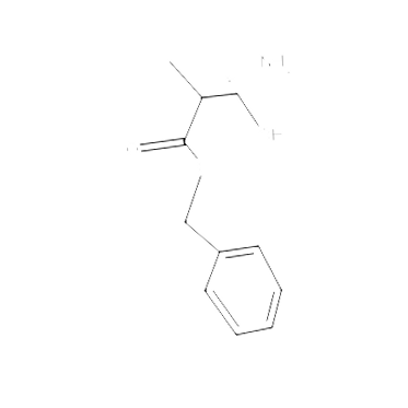 CC(C(=O)OCc1ccccc1)[C@H](N)O